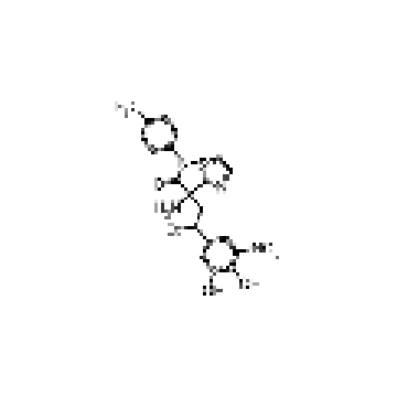 CCC(CC(N)(C(=O)Nc1ccc(C(F)(F)F)cc1)c1nccs1)c1cc(O)c(O)c([N+](=O)[O-])c1